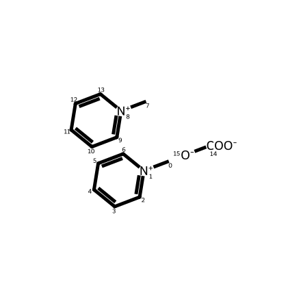 C[n+]1ccccc1.C[n+]1ccccc1.O=C([O-])[O-]